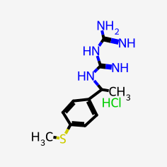 CSc1ccc(C(C)NC(=N)NC(=N)N)cc1.Cl